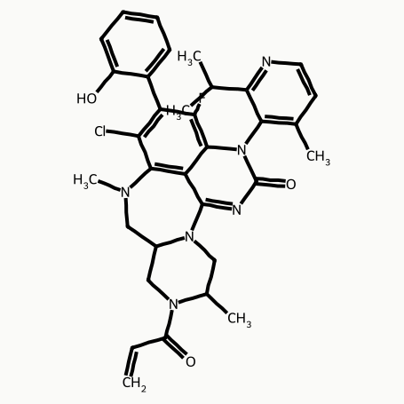 C=CC(=O)N1CC2CN(C)c3c(Cl)c(-c4ccccc4O)c(F)c4c3c(nc(=O)n4-c3c(C)ccnc3C(C)C)N2CC1C